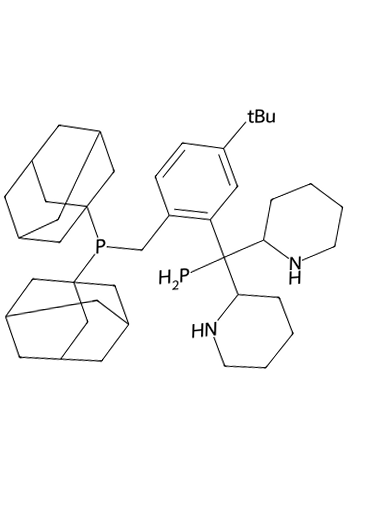 CC(C)(C)c1ccc(CP(C23CC4CC(CC(C4)C2)C3)C23CC4CC(CC(C4)C2)C3)c(C(P)(C2CCCCN2)C2CCCCN2)c1